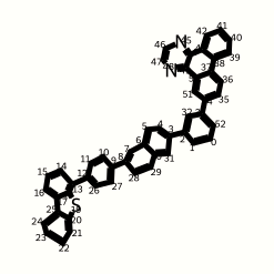 c1cc(-c2ccc3cc(-c4ccc(-c5cccc6c5sc5ccccc56)cc4)ccc3c2)cc(-c2ccc3c4ccccc4c4nccnc4c3c2)c1